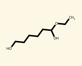 CCOC(O)CCCCCO